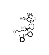 COCCCC[C@@](O)(c1ccccc1Oc1ccccc1C)[C@@H]1CCCN([C@@]2(C=O)C[C@@H](N)[C@H](O)C2)C1